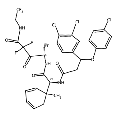 CC(C)[C@H](NC(=O)[C@@H](NC(=O)CC(Oc1ccc(Cl)cc1)c1ccc(Cl)c(Cl)c1)C1(C)C=CC=CC1)C(=O)C(F)(F)C(=O)NCC(F)(F)F